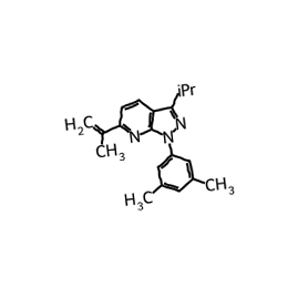 C=C(C)c1ccc2c(C(C)C)nn(-c3cc(C)cc(C)c3)c2n1